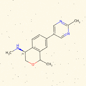 CN[C@@H]1COC(C)c2cc(-c3cnc(C)nc3)ccc21